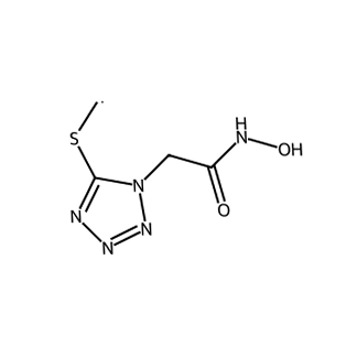 [CH2]Sc1nnnn1CC(=O)NO